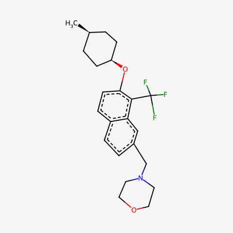 C[C@H]1CC[C@@H](Oc2ccc3ccc(CN4CCOCC4)cc3c2C(F)(F)F)CC1